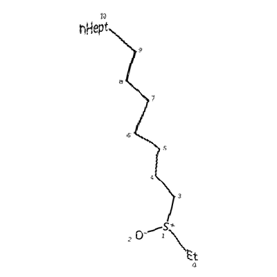 [CH2]C[S+]([O-])CCCCCCCCCCCCCC